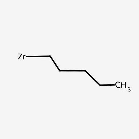 CCCC[CH2][Zr]